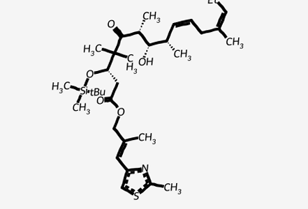 CC/C=C(/C)C/C=C\[C@H](C)[C@H](O)[C@@H](C)C(=O)C(C)(C)[C@H](CC(=O)OC/C(C)=C/c1csc(C)n1)O[Si](C)(C)C(C)(C)C